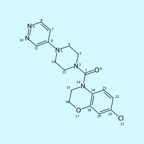 O=C(N1CCN(c2ccnnc2)CC1)N1CCOc2cc(Cl)ccc21